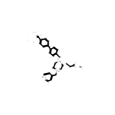 CC(C)OC(=O)CC[C@H]1CN(Cc2ccncc2)CCN1Cc1ccc(-c2ccc(C(O)(C(F)(F)F)C(F)(F)F)cc2)cc1